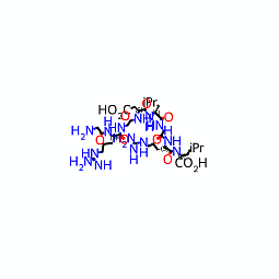 CC(C)C[C@H](NC(=O)[C@H](CCCNC(=N)N)NC(=O)CNC(=O)[C@H](CC(C)C)NC(=O)[C@H](CC(=O)O)NC(=O)CNC(=O)[C@H](CCCNC(=N)N)NC(=O)CN)C(=O)O